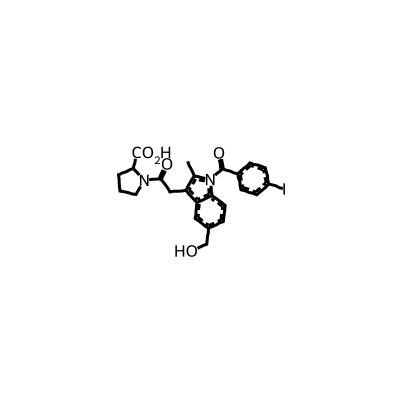 Cc1c(CC(=O)N2CCCC2C(=O)O)c2cc(CO)ccc2n1C(=O)c1ccc(I)cc1